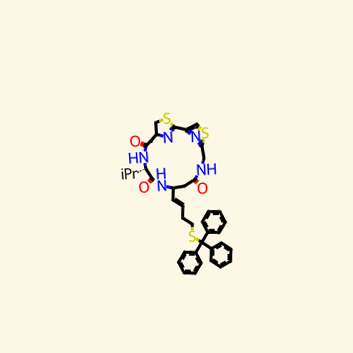 CC(C)[C@@H]1NC(=O)[C@]2(C)CSC(=N2)c2csc(n2)CNC(=O)CC(/C=C/CCSC(c2ccccc2)(c2ccccc2)c2ccccc2)NC1=O